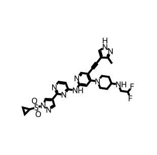 Cc1n[nH]cc1C#Cc1cnc(Nc2ccnc(-c3cnn(S(=O)(=O)C4CC4)c3)n2)cc1N1CCC(NCC(F)F)CC1